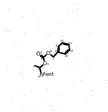 CCCCCC(C)OC(=O)OCc1ccccc1